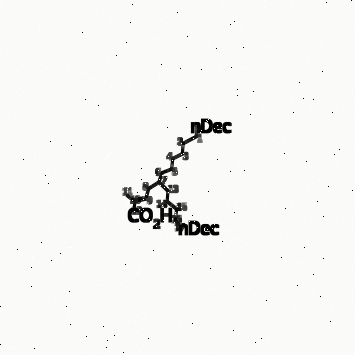 CCCCCCCCCCCCCCCCC(CC=C(C)C(=O)O)CCCCCCCCCCCCCC